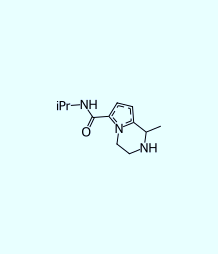 CC(C)NC(=O)c1ccc2n1CCNC2C